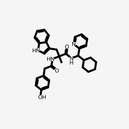 CC(Cc1c[nH]c2ccccc12)(NC(=O)Cc1ccc(O)cc1)C(=O)NC(c1ccccn1)C1CCCCC1